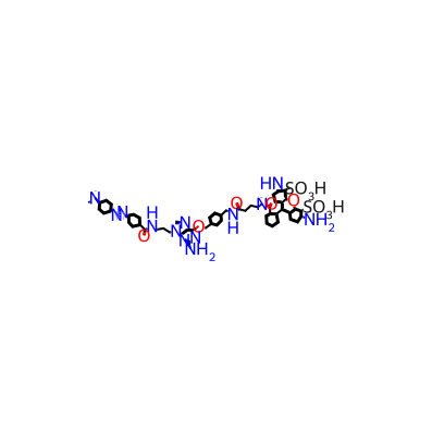 CN(CCCC(=O)NCc1ccc(COc2nc(N)nc3c2ncn3CCCNC(=O)c2ccc(/N=N/c3ccc(N(C)C)cc3)cc2)cc1)C(=O)c1ccccc1-c1c2ccc(=N)c(S(=O)(=O)O)c-2oc2c(S(=O)(=O)O)c(N)ccc12